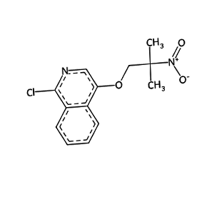 CC(C)(COc1cnc(Cl)c2ccccc12)[N+](=O)[O-]